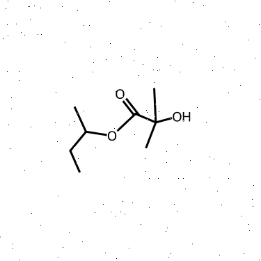 CCC(C)OC(=O)C(C)(C)O